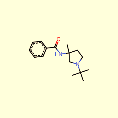 CC1(NC(=O)c2ccccc2)CCN(C(C)(C)C)C1